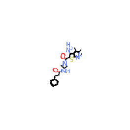 Cc1nnc2sc(C(=O)N3CC(NC(=O)CCc4ccccc4)C3)c(N)c2c1C